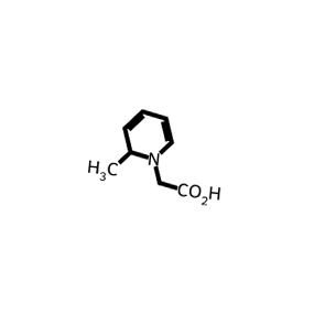 CC1C=CC=CN1CC(=O)O